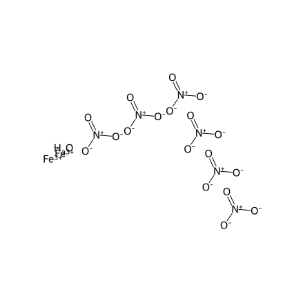 O.O=[N+]([O-])[O-].O=[N+]([O-])[O-].O=[N+]([O-])[O-].O=[N+]([O-])[O-].O=[N+]([O-])[O-].O=[N+]([O-])[O-].[Fe+3].[Fe+3]